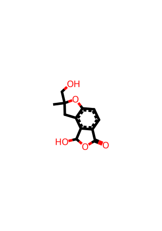 CC1(CO)Cc2c(ccc3c2C(O)OC3=O)O1